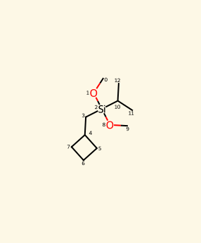 CO[Si](CC1CCC1)(OC)C(C)C